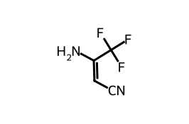 N#C/C=C(/N)C(F)(F)F